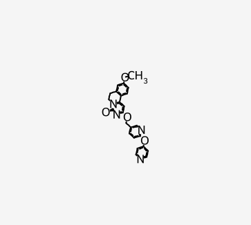 COc1ccc2c(c1)CCn1c-2cc(OCc2ccc(Oc3ccncc3)nc2)nc1=O